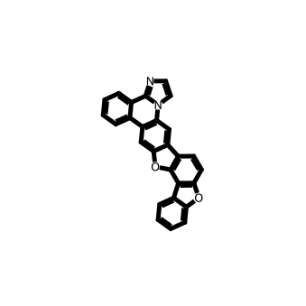 c1ccc2c(c1)oc1ccc3c4cc5c(cc4oc3c12)c1ccccc1c1nccn51